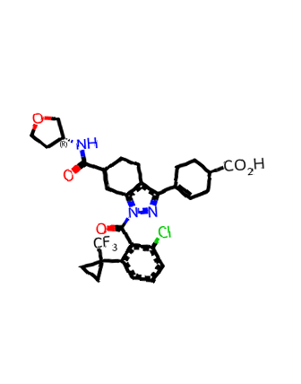 O=C(O)C1CC=C(c2nn(C(=O)c3c(Cl)cccc3C3(C(F)(F)F)CC3)c3c2CCC(C(=O)N[C@@H]2CCOC2)C3)CC1